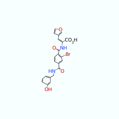 O=C(O)C(=Cc1ccoc1)NC(=O)c1ccc(C(=O)NCc2cccc(O)c2)cc1Br